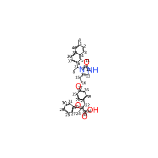 Cc1ccc2cc(C(C)N3C(=O)NCC3CCOc3ccc(CC(C)(Oc4ccccc4)C(=O)O)cc3)ccc2c1